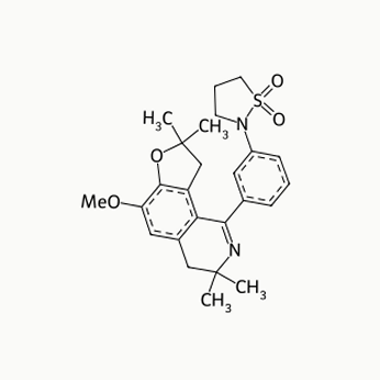 COc1cc2c(c3c1OC(C)(C)C3)C(c1cccc(N3CCCS3(=O)=O)c1)=NC(C)(C)C2